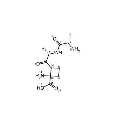 C[C@H](N)C(=O)N[C@@H](C)C(=O)C1CCC1(N)C(=O)O